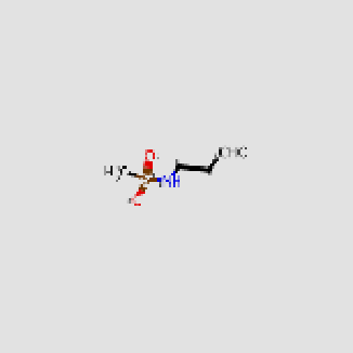 CS(=O)(=O)NCCC=O